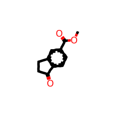 COC(=O)c1ccc2c(c1)CCC2=O